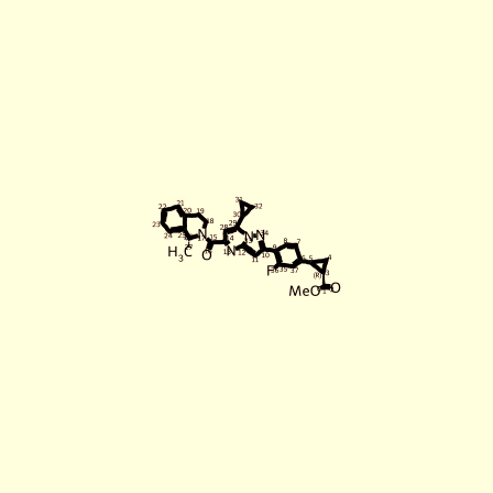 COC(=O)[C@@H]1CC1c1ccc(-c2cc3nc(C(=O)N4CCc5ccccc5[C@H]4C)cc(C4CC4)n3n2)c(F)c1